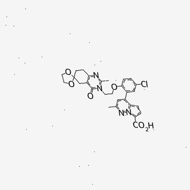 Cc1cc(-c2cc(Cl)ccc2OCCn2c(C)nc3c(c2=O)CC2(CC3)OCCO2)c2ccc(C(=O)O)n2n1